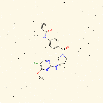 C=CC(=O)Nc1ccc(C(=O)N2CC[C@@H](Nc3ncc(F)c(OC)n3)C2)cc1